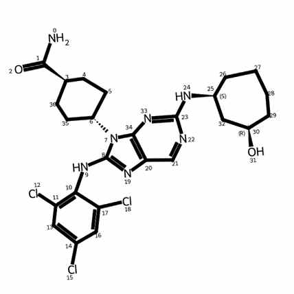 NC(=O)[C@H]1CC[C@H](n2c(Nc3c(Cl)cc(Cl)cc3Cl)nc3cnc(N[C@H]4CCCC[C@@H](O)C4)nc32)CC1